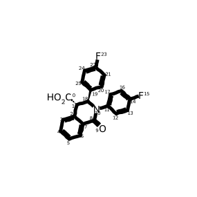 O=C(O)[C@H]1c2ccccc2C(=O)N(c2ccc(F)cc2)[C@@H]1c1ccc(F)cc1